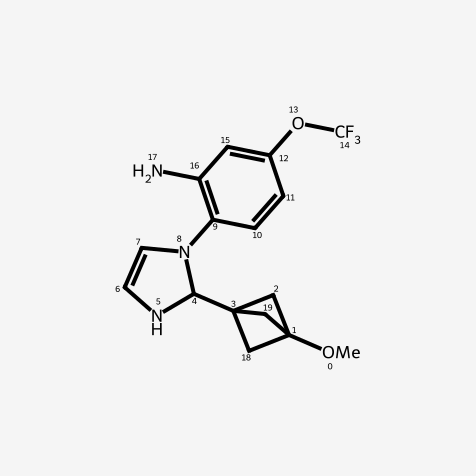 COC12CC(C3NC=CN3c3ccc(OC(F)(F)F)cc3N)(C1)C2